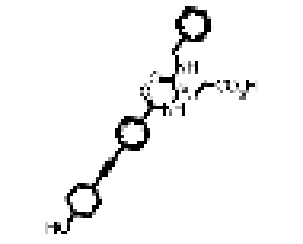 O=C(O)CC[C@H](NC(=O)c1ccc(C#CC2CCC(O)CC2)cc1)C(=O)NCc1ccccc1